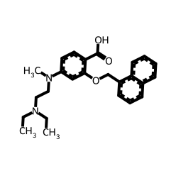 CCN(CC)CCN(C)c1ccc(C(=O)O)c(OCc2cccc3ccccc23)c1